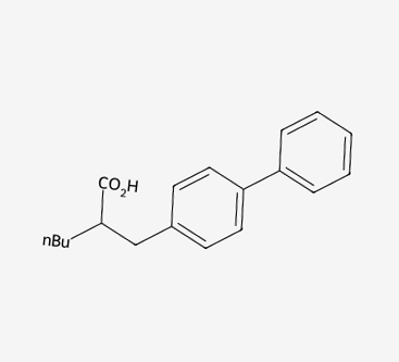 CCCCC(Cc1ccc(-c2ccccc2)cc1)C(=O)O